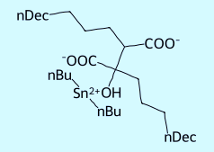 CCCCCCCCCCCCCC(C(=O)[O-])C(O)(CCCCCCCCCCCCC)C(=O)[O-].CCC[CH2][Sn+2][CH2]CCC